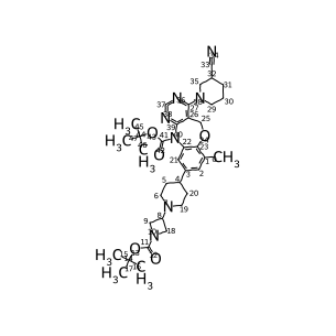 Cc1cc(C2CCN(C3CN(C(=O)OC(C)(C)C)C3)CC2)cc2c1OCc1c(N3CCCC(C#N)C3)ncnc1N2C(=O)OC(C)(C)C